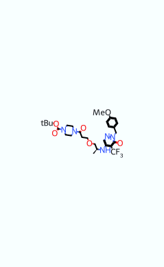 COc1ccc(Cn2ncc(N[C@@H](C)COCCC(=O)N3CCN(C(=O)OC(C)(C)C)CC3)c(C(F)(F)F)c2=O)cc1